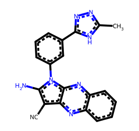 Cc1nnc(-c2cccc(-n3c(N)c(C#N)c4nc5ccccc5nc43)c2)[nH]1